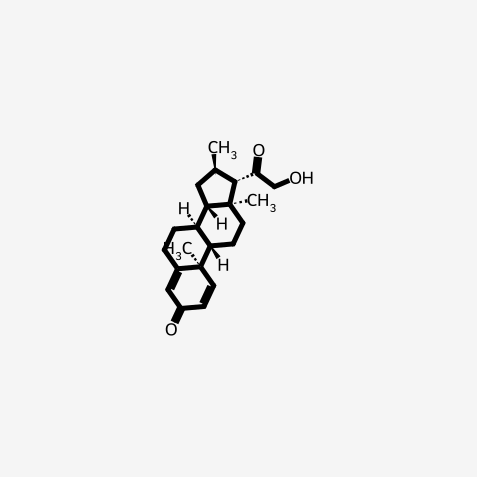 C[C@@H]1C[C@H]2[C@@H]3CCC4=CC(=O)C=C[C@]4(C)[C@H]3CC[C@]2(C)[C@H]1C(=O)CO